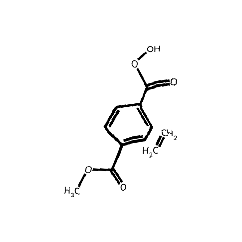 C=C.COC(=O)c1ccc(C(=O)OO)cc1